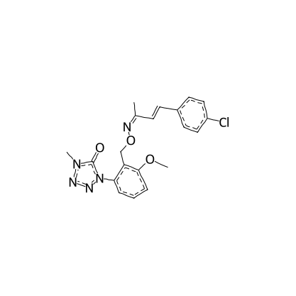 COc1cccc(-n2nnn(C)c2=O)c1CON=C(C)C=Cc1ccc(Cl)cc1